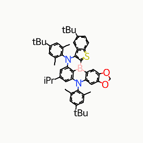 Cc1cc(C(C)(C)C)cc(C)c1N1c2cc3c(cc2B2c4sc5ccc(C(C)(C)C)cc5c4N(c4c(C)cc(C(C)(C)C)cc4C)c4cc(C(C)C)cc1c42)OCO3